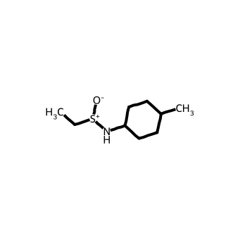 CC[S+]([O-])NC1CCC(C)CC1